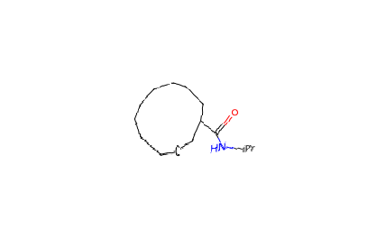 CC(C)NC(=O)C1CCCCCCCCCC1